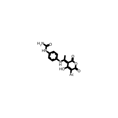 CC(=O)C1=C(O)C(=C(C)Nc2ccc(NC(N)=O)cc2)C(=O)OC1=O